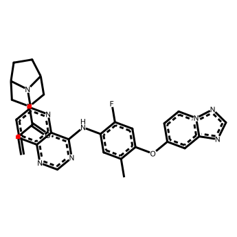 C=CC(=O)N1CC2CCC(C1)N2c1ccc2ncnc(Nc3cc(C)c(Oc4ccn5ncnc5c4)cc3F)c2n1